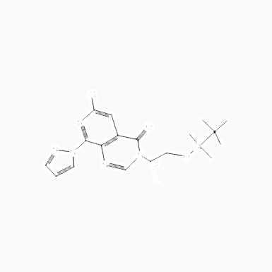 C[C@@H](CO[Si](C)(C)C(C)(C)C)n1cnc2c(-n3cccn3)nc(Cl)cc2c1=O